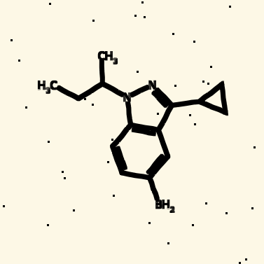 Bc1ccc2c(c1)c(C1CC1)nn2C(C)CC